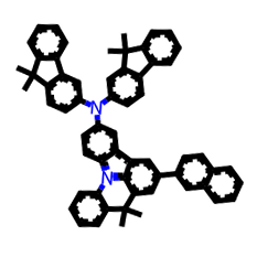 CC1(C)c2ccccc2-c2cc(N(c3ccc4c(c3)C(C)(C)c3ccccc3-4)c3ccc4c(c3)c3cc(-c5ccc6ccccc6c5)cc5c3n4-c3ccccc3C5(C)C)ccc21